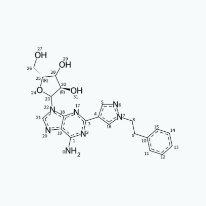 Nc1nc(-c2cnn(CCc3ccccc3)c2)nc2c1ncn2C1O[C@H](CO)C(O)[C@H]1O